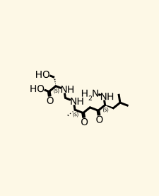 CC(C)C[C@H](NN)C(=O)CC(=O)[C@H](C)NCN[C@@H](CO)C(=O)O